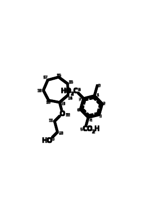 Cc1ccc(C(=O)O)cc1C(=O)O.OCCOC1CCCCCC1